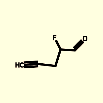 C#CCC(F)C=O